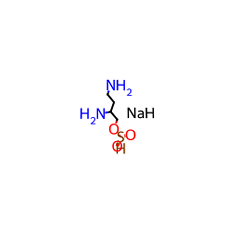 NCCC(N)CO[SH](=O)=O.[NaH]